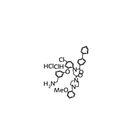 COc1ccccc1N1CCN(C(=O)CN(C(=O)c2ccc(-c3ccccc3)cc2)c2ccc(Cl)cc2Oc2cccc(CN)c2)CC1.Cl.Cl